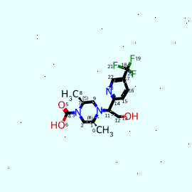 C[C@@H]1CN(C(=O)O)[C@@H](C)CN1C(CO)c1ccc(C(F)(F)F)cn1